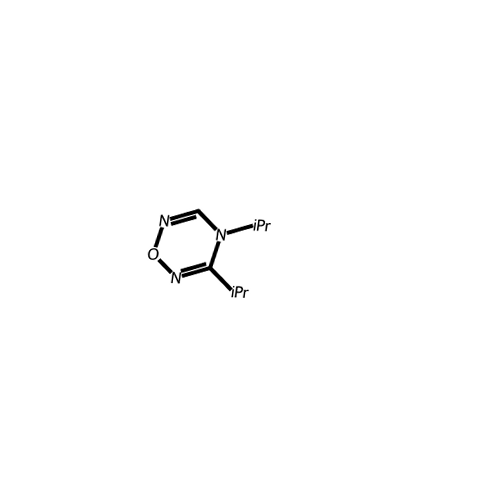 CC(C)C1=NON=CN1C(C)C